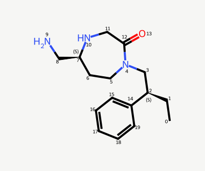 CC[C@H](CN1CC[C@@H](CN)NCC1=O)c1ccccc1